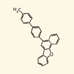 Cc1ccc(-c2ccc(-c3cc4c5ccccc5oc4c4ccccc34)cc2)cc1